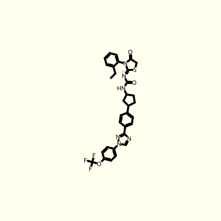 CCc1ccccc1N1C(=O)CS/C1=N\C(=O)NC1CCC(c2ccc(-c3ncn(-c4ccc(OC(F)(F)F)cc4)n3)cc2)C1